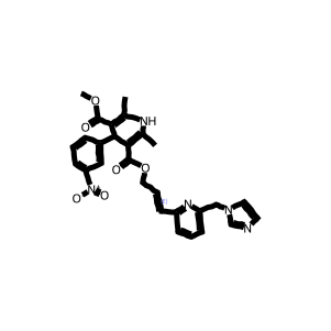 COC(=O)C1=C(C)NC(C)=C(C(=O)OC/C=C/c2cccc(Cn3ccnc3)n2)C1c1cccc([N+](=O)[O-])c1